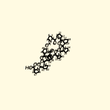 O=CN1CCCC1C(=O)N1CCCC1C(=O)N1CCCC1C(=O)N1CCCC1C(=O)N1CCCC1C(=O)N1CCCC1C(=O)N1CCCC1C(=O)N1CCCC1C(=O)N1CCCC1C(=O)N1CCCC1C(=O)O